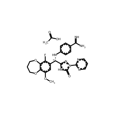 CC(=O)O.COc1cc([C@H](Nc2ccc(C(=N)N)cc2)c2nn(-c3ncccn3)c(=O)[nH]2)c(F)c2c1OCCCO2